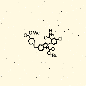 COC(=O)C1CCN(Cc2ccc3c(c2)cc(-c2ccc(Cl)c4c2C(=O)NC4)n3C(=O)OC(C)(C)C)CC1